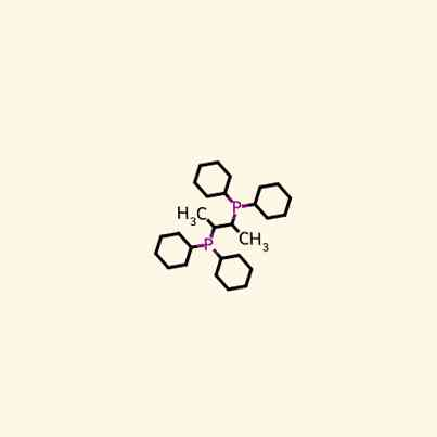 CC(C(C)P(C1CCCCC1)C1CCCCC1)P(C1CCCCC1)C1CCCCC1